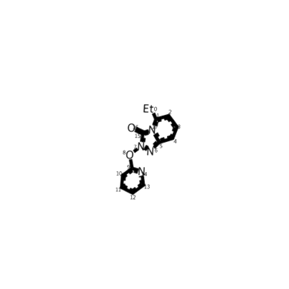 CCc1cccc2nn(Oc3ccccn3)c(=O)n12